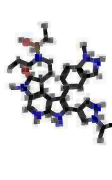 CCCN(CCC1C(=O)N(C)c2cnc3[nH]c(-c4cnn(C(C)C)c4)c(-c4ccc5c(cnn5C)c4)c3c21)[S+]([O-])CC